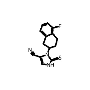 N#Cc1c[nH]c(=S)n1C1CCc2c(F)cccc2C1